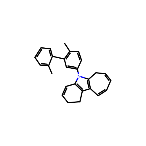 Cc1ccccc1-c1cc(-n2c3c(c4c2CC=CC=C4)CCC=C3)ccc1C